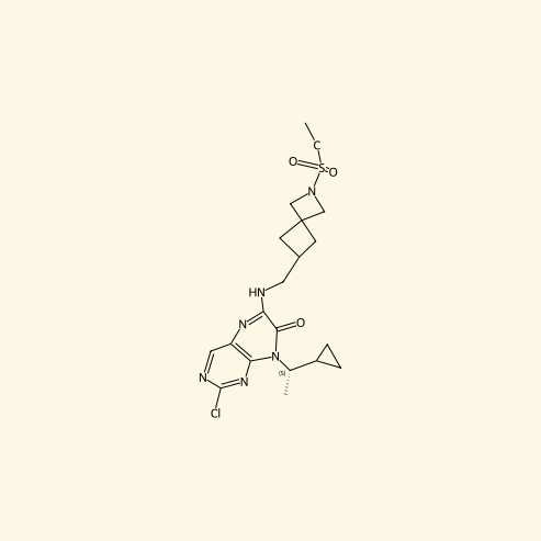 CCS(=O)(=O)N1CC2(CC(CNc3nc4cnc(Cl)nc4n([C@@H](C)C4CC4)c3=O)C2)C1